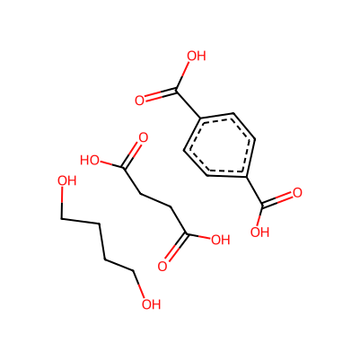 O=C(O)CCC(=O)O.O=C(O)c1ccc(C(=O)O)cc1.OCCCCO